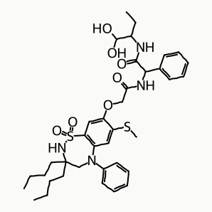 CCCCC1(CCCC)CN(c2ccccc2)c2cc(SC)c(OCC(=O)NC(C(=O)NC(CC)C(O)O)c3ccccc3)cc2S(=O)(=O)N1